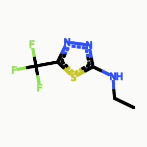 CCNc1nnc(C(F)(F)F)s1